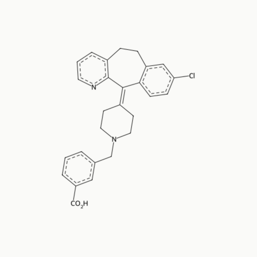 O=C(O)c1cccc(CN2CCC(=C3c4ccc(Cl)cc4CCc4cccnc43)CC2)c1